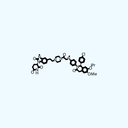 COc1cc2c(cc1OC(C)C)[C@H](c1ccc(Cl)cc1)N(c1ccc(N(C)CC(=O)N3CCN(CCc4ccc5c(c4)n(C)c(=O)n5C4CCC(=O)NC4=O)CC3)cc1)C(=O)C2